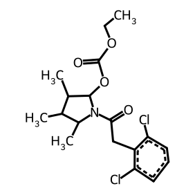 CCOC(=O)OC1C(C)C(C)C(C)N1C(=O)Cc1c(Cl)cccc1Cl